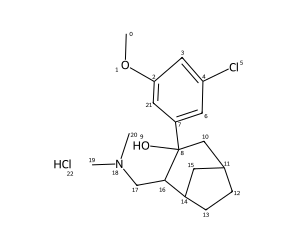 COc1cc(Cl)cc(C2(O)CC3CCC(C3)C2CN(C)C)c1.Cl